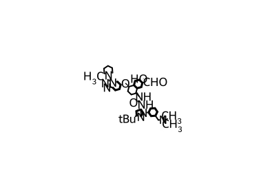 CC1CCCCN1c1nnc2ccc(O[C@@H]3CC[C@H](NC(=O)Nc4cc(C(C)(C)C)nn4-c4cccc(CN(C)C)c4)c4ccccc43)cn12.O=CO